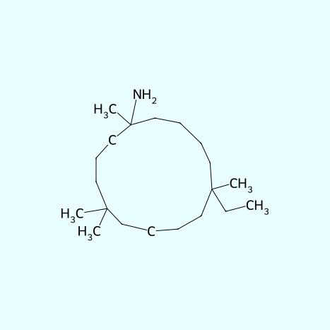 CCC1(C)CCCCC(C)(C)CCCC(C)(N)CCCC1